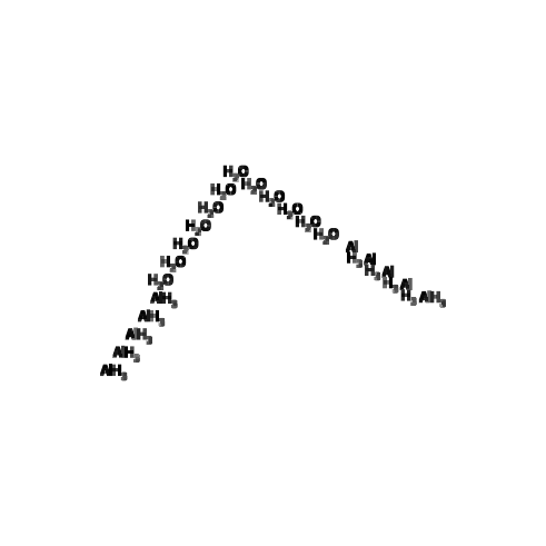 O.O.O.O.O.O.O.O.O.O.O.O.[AlH3].[AlH3].[AlH3].[AlH3].[AlH3].[AlH3].[AlH3].[AlH3].[AlH3].[AlH3]